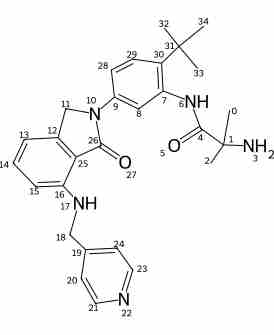 CC(C)(N)C(=O)Nc1cc(N2Cc3cccc(NCc4ccncc4)c3C2=O)ccc1C(C)(C)C